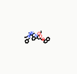 C=CCN(Cc1ccccc1)c1c(-c2cccc3c(CCCOc4cccc5ccccc45)c(C(=O)OCC)n(C)c23)c(C)nn1C